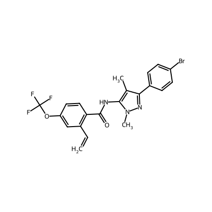 C=Cc1cc(OC(F)(F)F)ccc1C(=O)Nc1c(C)c(-c2ccc(Br)cc2)nn1C